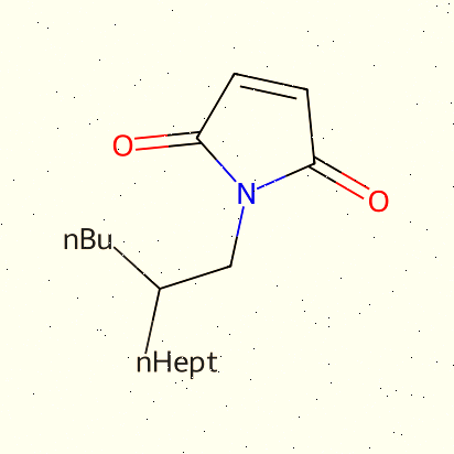 CCCCCCCC(CCCC)CN1C(=O)C=CC1=O